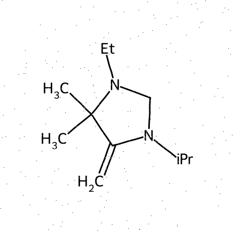 C=C1N(C(C)C)CN(CC)C1(C)C